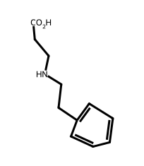 O=C(O)CCNCCc1ccccc1